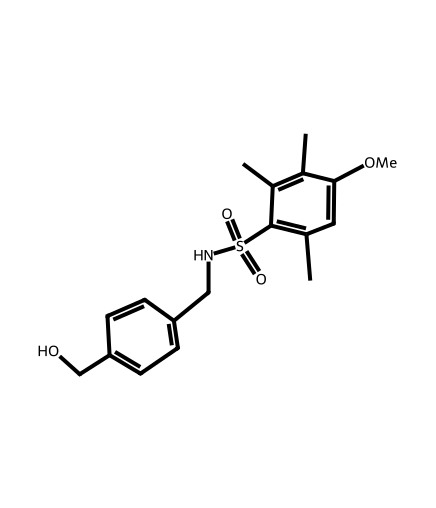 COc1cc(C)c(S(=O)(=O)NCc2ccc(CO)cc2)c(C)c1C